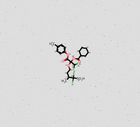 Cc1ccc(OC(=O)C(OCCC(C)C(F)(F)S(=O)(=O)O)(OC(=O)C2CCCCC2)C(F)F)cc1